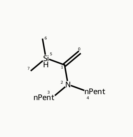 C=C(N(CCCCC)CCCCC)[SiH](C)C